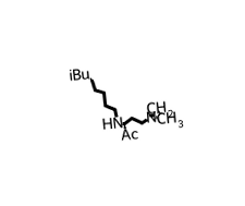 C=[N+](C)CC[C@H](NCCCCC[C@@H](C)CC)C(C)=O